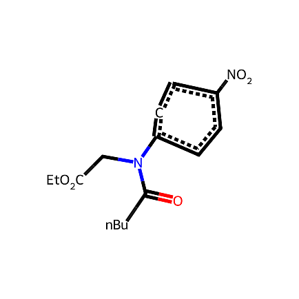 CCCCC(=O)N(CC(=O)OCC)c1ccc([N+](=O)[O-])cc1